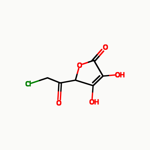 O=C1OC(C(=O)CCl)C(O)=C1O